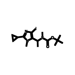 CC(c1c(I)nc(C2CC2)n1C)N(C)C(=O)OC(C)(C)C